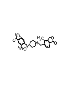 Cc1c(CCN2CCC(N3ONc4cc(C(N)=O)ccc43)CC2)ccc2c1COC2=O